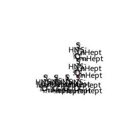 CCCCCCCc1cccc(NC(=S)[S-])c1CCCCCCC.CCCCCCCc1cccc(NC(=S)[S-])c1CCCCCCC.CCCCCCCc1cccc(NC(=S)[S-])c1CCCCCCC.CCCCCCCc1cccc(NC(=S)[S-])c1CCCCCCC.CCCCCCCc1cccc(NC(=S)[S-])c1CCCCCCC.CCCCCCCc1cccc(NC(=S)[S-])c1CCCCCCC.[Mo+6]